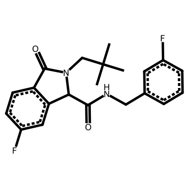 CC(C)(C)CN1C(=O)c2ccc(F)cc2C1C(=O)NCc1cccc(F)c1